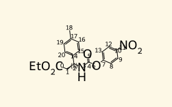 CCOC(=O)C[C@H](NC(=O)Oc1ccc([N+](=O)[O-])cc1)c1ccc(C)cc1